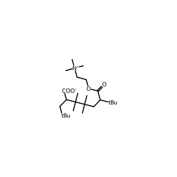 CC(C)(C)CC(C(=O)[O-])C(C)(C)C(C)(C)CC(C(=O)OCC[N+](C)(C)C)C(C)(C)C